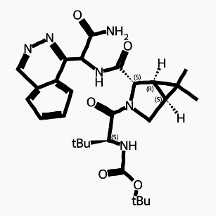 CC(C)(C)OC(=O)N[C@H](C(=O)N1C[C@H]2[C@@H]([C@H]1C(=O)NC(C(N)=O)c1nncc3ccccc13)C2(C)C)C(C)(C)C